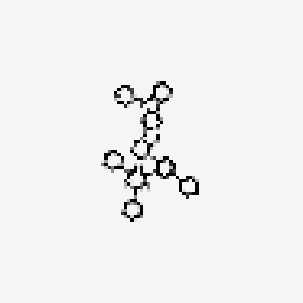 c1ccc(-c2ccc(-c3cccc4c3Cc3cc5c6ccccc6n(-c6ccccc6)c5cc3-4)c(-c3nc(-c4ccccc4)nc(-c4ccccc4)n3)c2)cc1